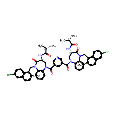 CN[C@@H](C)C(=O)N[C@H]1CN(C(=O)c2cncc(C(=O)N3C[C@H](NC(=O)[C@H](C)NC)C(=O)N(Cc4c(OC)ccc5cc(Br)ccc45)c4ccccc43)c2)c2ccccc2N(Cc2c(OC)ccc3cc(Br)ccc23)C1=O